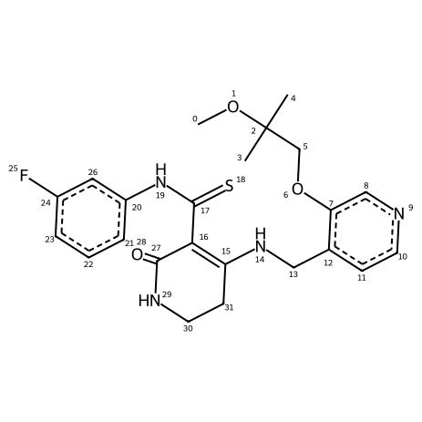 COC(C)(C)COc1cnccc1CNC1=C(C(=S)Nc2cccc(F)c2)C(=O)NCC1